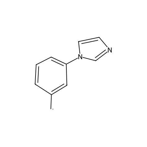 [CH2]c1cccc(-n2ccnc2)c1